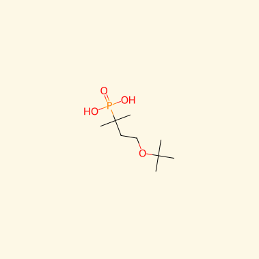 CC(C)(C)OCCC(C)(C)P(=O)(O)O